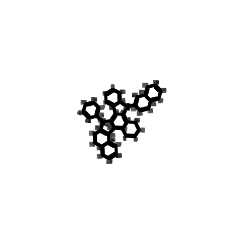 C1=Cc2c(c3c(c4ccccc4n3-c3ccc4ccccc4c3)c3c2c2c4ccccc4ccc2n3-c2ccccc2)CC1